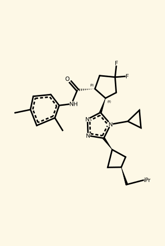 Cc1ccc(NC(=O)[C@@H]2CC(F)(F)C[C@H]2c2nnc([C@H]3C[C@@H](CC(C)C)C3)n2C2CC2)c(C)c1